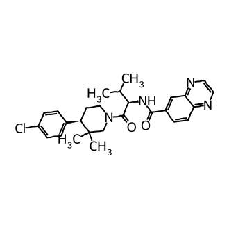 CC(C)[C@@H](NC(=O)c1ccc2nccnc2c1)C(=O)N1CC[C@H](c2ccc(Cl)cc2)C(C)(C)C1